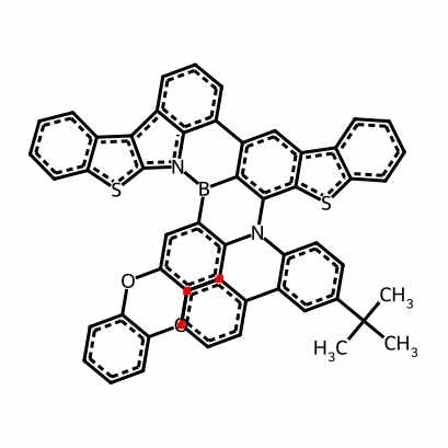 CC(C)(C)c1ccc(N2c3cc4c(cc3B3c5c(cc6c(sc7ccccc76)c52)-c2cccc5c6c7ccccc7sc6n3c25)Oc2ccccc2O4)c(-c2ccccc2)c1